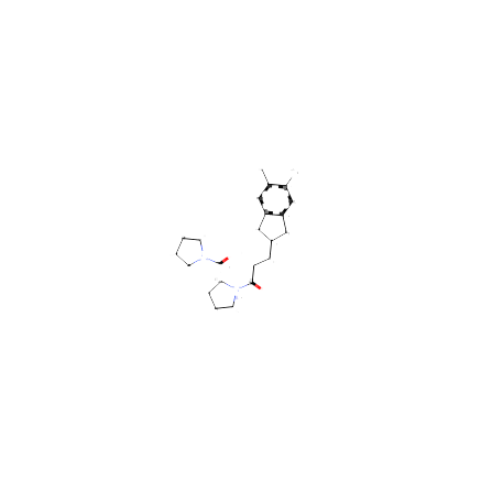 Cc1cc2c(cc1[N+](=O)[O-])CC(CCC(=O)N1CCC[C@@H]1C(=O)N1CCCC1)C2